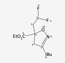 CCOC(=O)C1(CC(F)F)CC(C(C)(C)C)=NO1